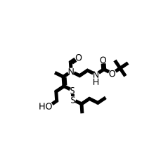 CCCC(C)SS/C(CCO)=C(/C)N(C=O)CCNC(=O)OC(C)(C)C